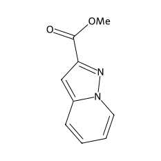 COC(=O)c1cc2ccccn2n1